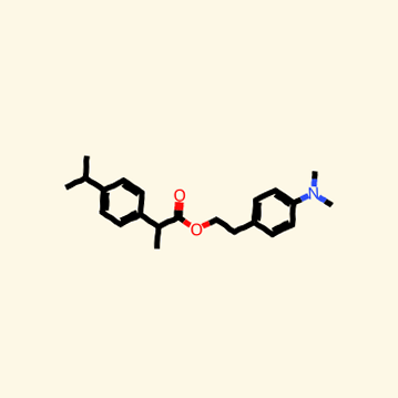 CC(C)c1ccc(C(C)C(=O)OCCc2ccc(N(C)C)cc2)cc1